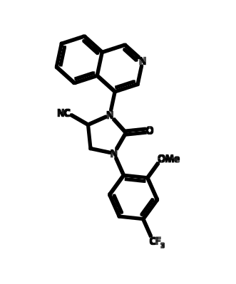 COc1cc(C(F)(F)F)ccc1N1CC(C#N)N(c2cncc3ccccc23)C1=O